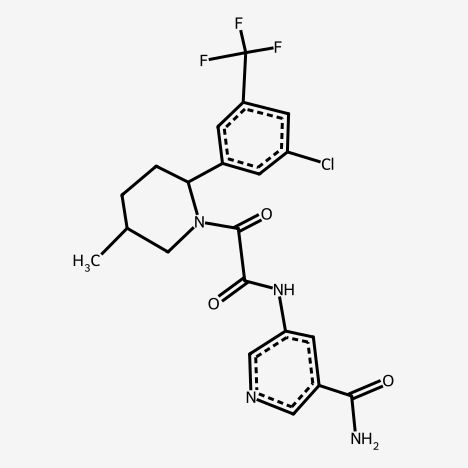 CC1CCC(c2cc(Cl)cc(C(F)(F)F)c2)N(C(=O)C(=O)Nc2cncc(C(N)=O)c2)C1